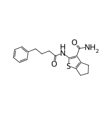 NC(=O)c1c(NC(=O)CCCc2ccccc2)sc2c1CCC2